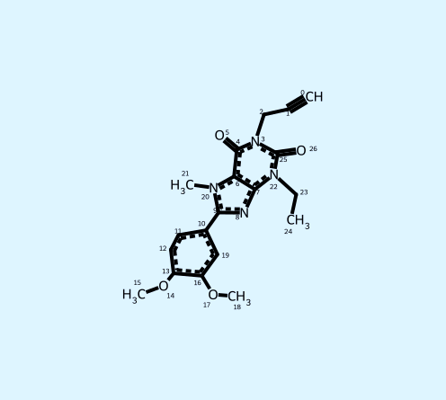 C#CCn1c(=O)c2c(nc(-c3ccc(OC)c(OC)c3)n2C)n(CC)c1=O